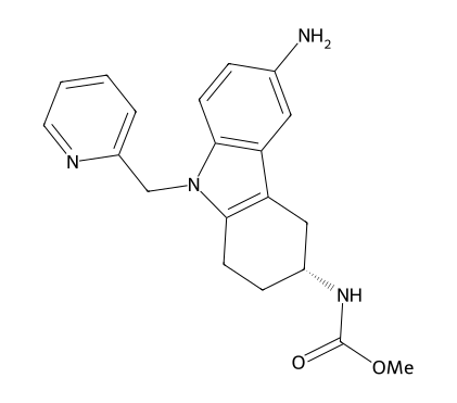 COC(=O)N[C@@H]1CCc2c(c3cc(N)ccc3n2Cc2ccccn2)C1